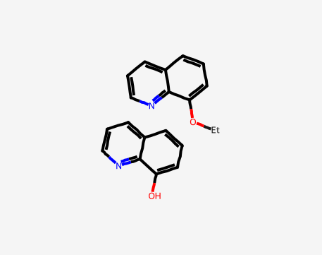 CCOc1cccc2cccnc12.Oc1cccc2cccnc12